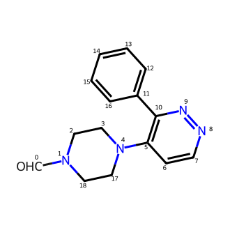 O=CN1CCN(c2ccnnc2-c2ccccc2)CC1